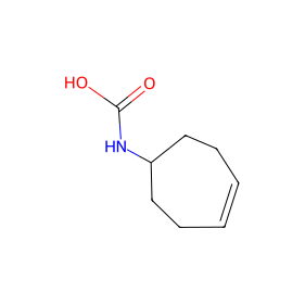 O=C(O)NC1CCC=CCC1